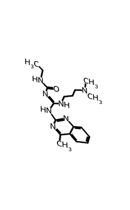 CCNC(=O)/N=C(\NCCCN(C)C)Nc1nc(C)c2ccccc2n1